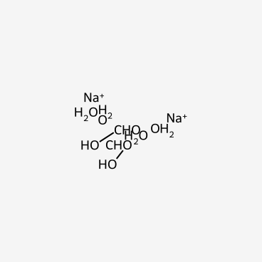 O.O.O.O.O=[C-]O.O=[C-]O.[Na+].[Na+]